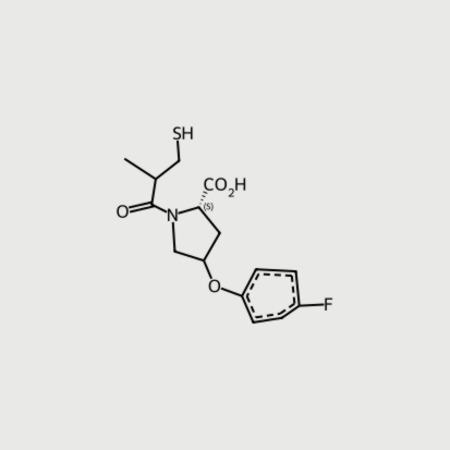 CC(CS)C(=O)N1CC(Oc2ccc(F)cc2)C[C@H]1C(=O)O